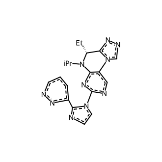 CC[C@@H]1c2nncn2-c2cnc(-n3ccnc3-c3cccnn3)nc2N1C(C)C